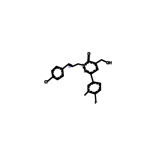 Cc1cc(-c2cc(CO)c(=O)n(C/C=C/c3ccc(Cl)cc3)n2)ccc1F